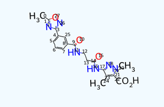 Cc1nc(-c2cccc(C(=O)NCCC(=O)Nc3nn(C)c(C(=O)O)c3C)c2)no1